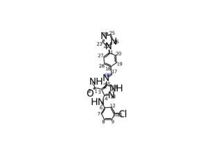 NC(=O)c1c(Nc2cccc(Cl)c2)n[nH]c1/N=C/c1ccc(-n2cncn2)cc1